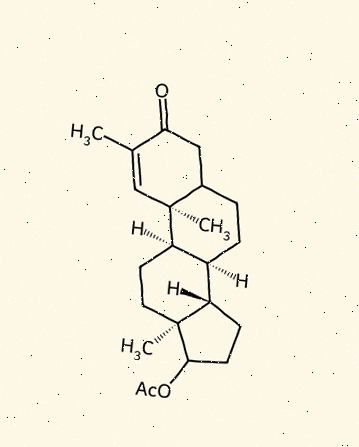 CC(=O)OC1CC[C@H]2[C@@H]3CCC4CC(=O)C(C)=C[C@]4(C)[C@@H]3CC[C@]12C